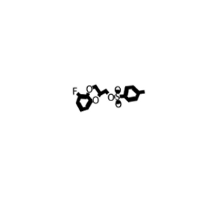 Cc1ccc(S(=O)(=O)OCC2COc3c(F)cccc3O2)cc1